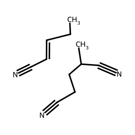 CC(C#N)CCC#N.CCC=CC#N